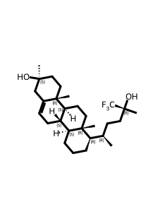 C[C@H](CC[C@@](C)(O)C(F)(F)F)[C@H]1CCC[C@H]2[C@@H]3CC=C4C[C@@](C)(O)CC[C@]4(C)[C@H]3CC[C@]12C